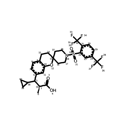 C[C@H](C(=O)O)C(c1ccc2c(c1)OC1(CC2)CCN(S(=O)(=O)c2cc(C(F)(F)F)ccc2C(F)(F)F)CC1)C1CC1